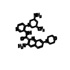 Nc1cc2ccc(N3CCOCC3)cc2nc1C(=O)Nc1cnccc1N1CC(N)CC(C(F)(F)F)C1